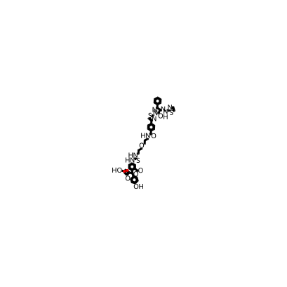 O=C(NCCCOCCCNC(=S)Nc1ccc2c(c1)C(=O)OC21c2ccc(O)cc2Oc2cc(O)ccc21)c1ccc(-c2csc(N3N=C(c4ccccc4)/C(=N/Nc4nccs4)C3=O)n2)cc1